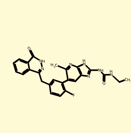 CCNC(=O)Nc1nc2cc(-c3cc(Cc4n[nH]c(=O)c5ccccc45)ccc3F)c(C)nc2[nH]1